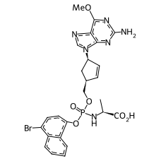 COc1nc(N)nc2c1ncn2[C@H]1C=C[C@@H](COP(=O)(N[C@@H](C)C(=O)O)Oc2ccc(Br)c3ccccc23)C1